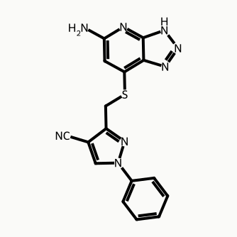 N#Cc1cn(-c2ccccc2)nc1CSc1cc(N)nc2[nH]nnc12